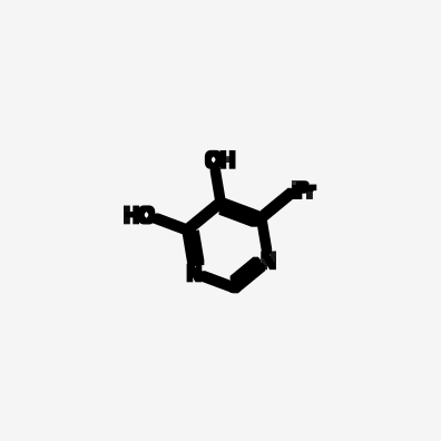 CC(C)c1ncnc(O)c1O